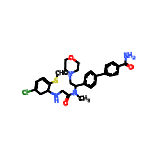 CN(C(=O)CNC1CC(Cl)=CC=C1SC=O)C(CN1CCOCC1)c1ccc(-c2ccc(C(N)=O)cc2)cc1